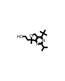 CC(C)c1nc(C(C)(C)C)c2c(n1)C(C)(CCO)OC2